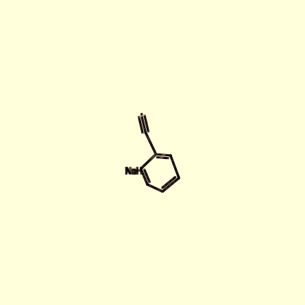 [C]#Cc1ccccc1.[NaH]